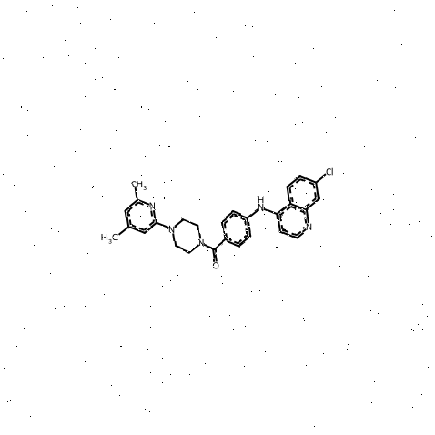 Cc1cc(C)nc(N2CCN(C(=O)c3ccc(Nc4ccnc5cc(Cl)ccc45)cc3)CC2)c1